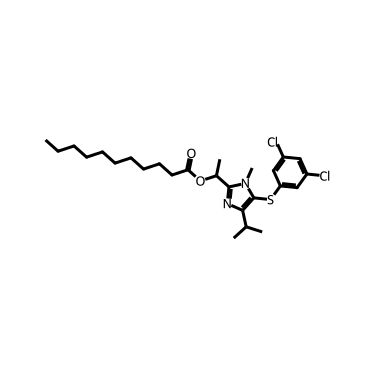 CCCCCCCCCCC(=O)OC(C)c1nc(C(C)C)c(Sc2cc(Cl)cc(Cl)c2)n1C